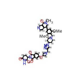 COc1cc(-c2cn(C)c(=O)c3cnccc23)cc(OC)c1CN1CCC(n2cc(CN3CC(Oc4ccc5c(c4)C(=O)N(C4CCC(=O)NC4=O)C5=O)C3)nn2)CC1